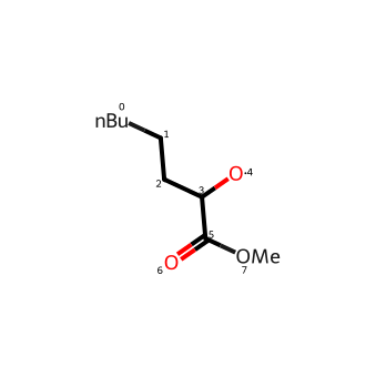 CCCCCCC([O])C(=O)OC